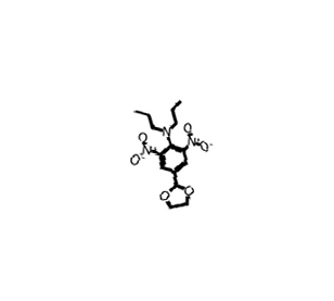 CCCN(CCC)c1c([N+](=O)[O-])cc(C2OCCO2)cc1[N+](=O)[O-]